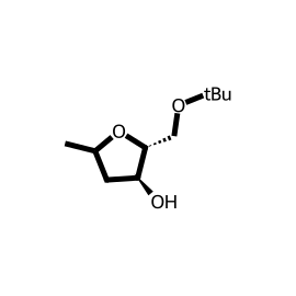 CC1C[C@H](O)[C@@H](COC(C)(C)C)O1